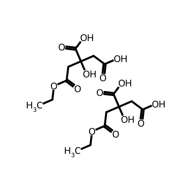 CCOC(=O)CC(O)(CC(=O)O)C(=O)O.CCOC(=O)CC(O)(CC(=O)O)C(=O)O